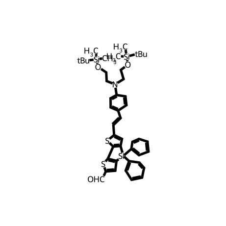 CC(C)(C)[Si](C)(C)OCCN(CCO[Si](C)(C)C(C)(C)C)c1ccc(/C=C/c2cc3c(s2)-c2sc(C=O)cc2[Si]3(c2ccccc2)c2ccccc2)cc1